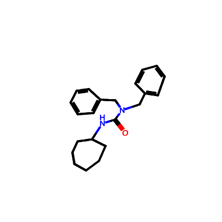 O=C(NC1CCCCCC1)N(Cc1ccccc1)Cc1ccccc1